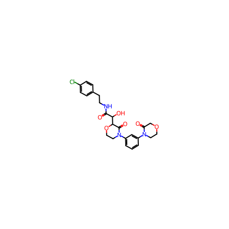 O=C(NCCc1ccc(Cl)cc1)C(O)C1OCCN(c2cccc(N3CCOCC3=O)c2)C1=O